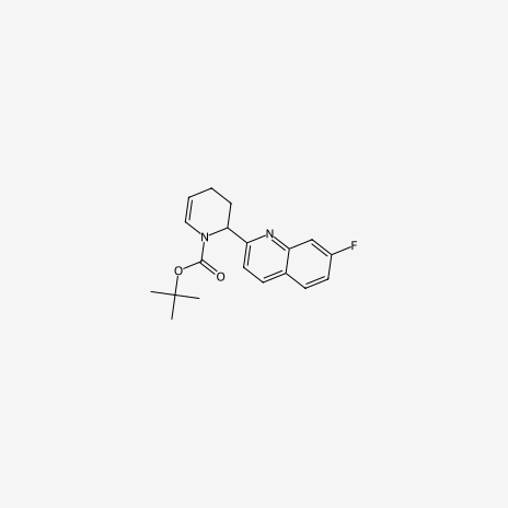 CC(C)(C)OC(=O)N1C=CCCC1c1ccc2ccc(F)cc2n1